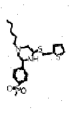 CCCCCN1CC(SCC2CCCS2)NC(c2ccc(S(C)(=O)=O)cc2)C1